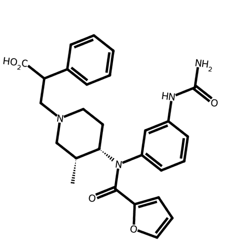 C[C@@H]1CN(CC(C(=O)O)c2ccccc2)CC[C@@H]1N(C(=O)c1ccco1)c1cccc(NC(N)=O)c1